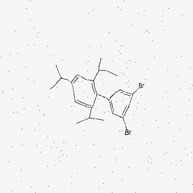 CC(C)c1cc(C(C)C)c(-c2cc(Br)cc(Br)c2)c(C(C)C)c1